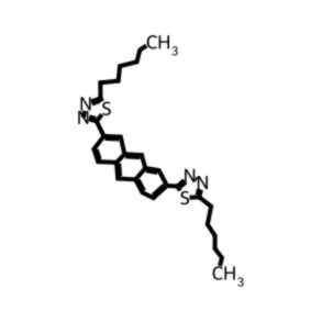 CCCCCCc1nnc(-c2ccc3cc4ccc(-c5nnc(CCCCCC)s5)cc4cc3c2)s1